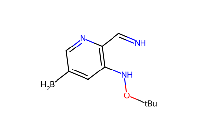 Bc1cnc(C=N)c(NOC(C)(C)C)c1